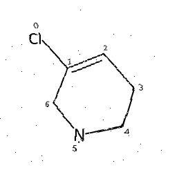 ClC1=CCC[N]C1